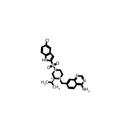 CC(C)[C@H]1CN(S(=O)(=O)c2cc3cc(Cl)ccc3[nH]2)CCN1Cc1ccc2c(N)ncnc2c1